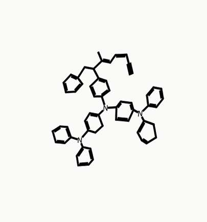 C#C/C=C\C=C(/C)C(Cc1ccccc1)c1ccc(N(C2=CC=C(N(c3ccccc3)c3ccccc3)CC2)c2ccc(N(C3=CC=CCC3)c3ccccc3)cc2)cc1